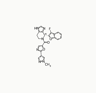 Cn1cc(-c2ncc(C(=O)N3CCc4[nH]cnc4[C@@H]3c3oc4ccccc4c3F)o2)cn1